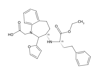 CCOC(=O)[C@H](CCc1ccccc1)N[C@H]1CCc2ccccc2N(CC(=O)O)C1c1ccco1